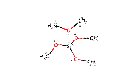 CO[SiH3].CO[SiH](OC)OC